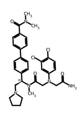 CN(C)C(=O)c1ccc(-c2ccc([C@H](CN3CCCC3)N(C)C(=O)CN(CC(N)=O)c3ccc(Cl)c(Cl)c3)cc2)cc1